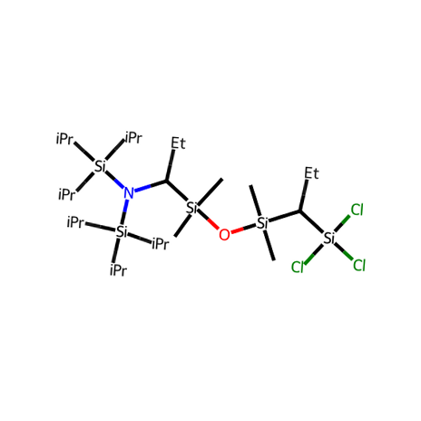 CCC(N([Si](C(C)C)(C(C)C)C(C)C)[Si](C(C)C)(C(C)C)C(C)C)[Si](C)(C)O[Si](C)(C)C(CC)[Si](Cl)(Cl)Cl